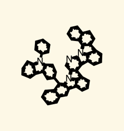 c1ccc(-n2c3ccccc3c3cc(-c4c5ccccc5cc5c6cccc7c8c9c%10cccc%11c%12ccc%13ccccc%13c%12n(c9ncc8n(c45)c67)c%11%10)ccc32)cc1